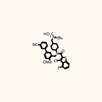 COc1ccc(-c2cccc(C#N)c2)cc1CN(C(=O)c1sc2cccc(F)c2c1Cl)C1CCC(CN(C(=O)O)C(C)(C)C)CC1